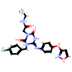 O=C(Cn1c(=O)[nH]/c(=N\c2ccc(Oc3ccon3)cc2)n(Cc2ccc(Cl)cc2)c1=O)NCC(F)(F)F